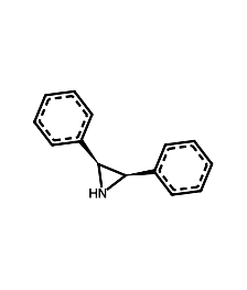 c1ccc([C@H]2N[C@H]2c2ccccc2)cc1